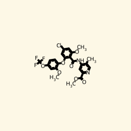 COC(=O)c1cc(NC(=O)c2c(OC)cc(Cl)cc2Oc2ccc(OC(F)(F)F)cc2OC)c(C)cn1